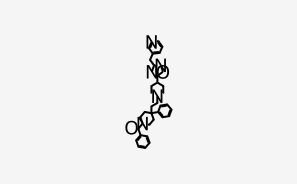 O=C(c1ccccc1)N1CCC(CCN2CCC(c3nc(Cc4cccnc4)no3)CC2)(c2ccccc2)CC1